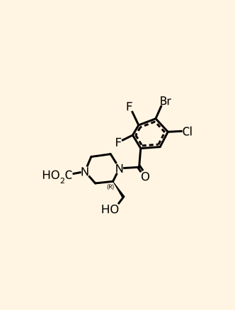 O=C(O)N1CCN(C(=O)c2cc(Cl)c(Br)c(F)c2F)[C@@H](CO)C1